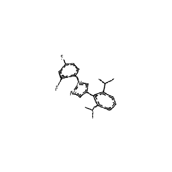 CC(C)c1cccc(C(C)C)c1-c1cnn(-c2ccc(F)cc2F)c1